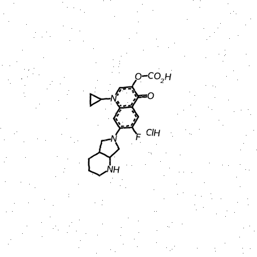 Cl.O=C(O)Oc1cn(C2CC2)c2cc(N3CC4CCCNC4C3)c(F)cc2c1=O